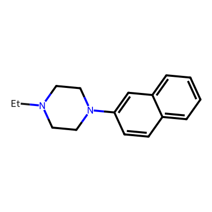 CCN1CCN(c2ccc3ccccc3c2)CC1